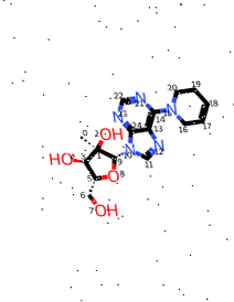 C[C@@]1(O)[C@H](O)[C@@H](CO)O[C@H]1n1cnc2c(N3CC=CCC3)ncnc21